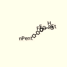 CCCCCC1CCC(C2CCC(c3ccc(OCCCPOCC)c(F)c3F)CC2)CC1